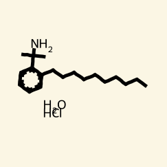 CCCCCCCCCCc1ccccc1C(C)(C)N.Cl.O